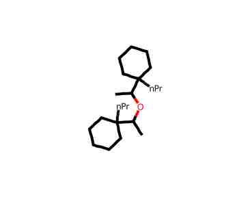 CCCC1(C(C)OC(C)C2(CCC)CCCCC2)CCCCC1